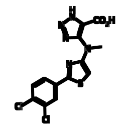 CN(c1csc(-c2ccc(Cl)c(Cl)c2)n1)c1nn[nH]c1C(=O)O